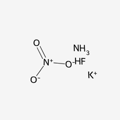 F.N.O=[N+]([O-])[O-].[K+]